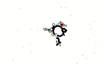 CC(=Cc1csc(C)n1)[C@@H]1C/C=C(/C)c2cccc(c2)[C@H](C)[C@H](O[Si](C)(C)C(C)(C)C)[C@@H](C)C(=O)C(C)(C)[C@@H](O[Si](C)(C)C(C)(C)C)CC(=O)O1